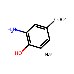 Nc1cc(C(=O)[O-])ccc1O.[Na+]